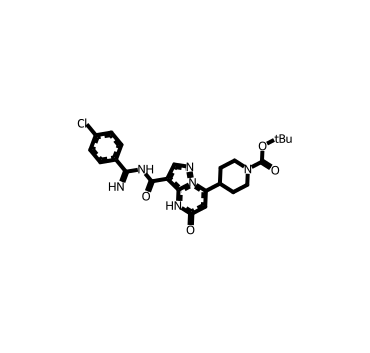 CC(C)(C)OC(=O)N1CCC(c2cc(=O)[nH]c3c(C(=O)NC(=N)c4ccc(Cl)cc4)cnn23)CC1